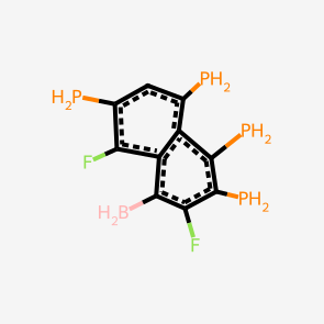 Bc1c(F)c(P)c(P)c2c(P)cc(P)c(F)c12